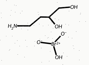 NCCC(O)CO.[O-][Br+2]([O-])O